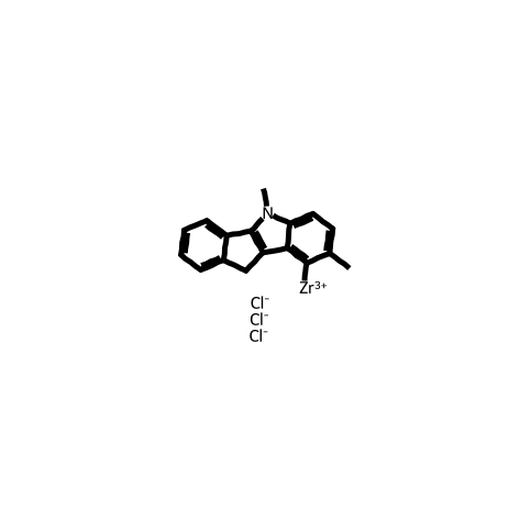 Cc1ccc2c([c]1[Zr+3])c1c(n2C)-c2ccccc2C1.[Cl-].[Cl-].[Cl-]